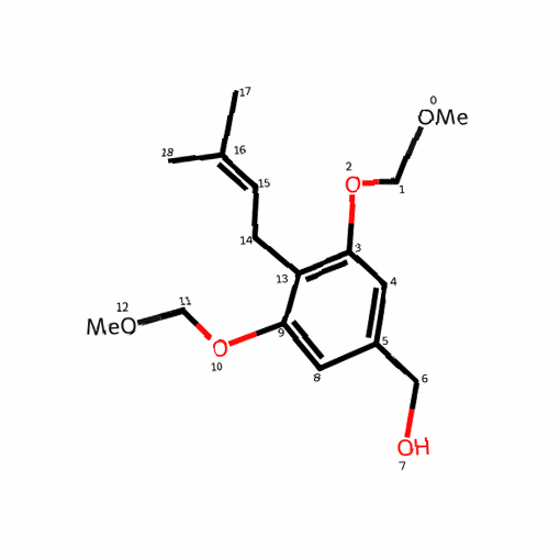 COCOc1cc(CO)cc(OCOC)c1CC=C(C)C